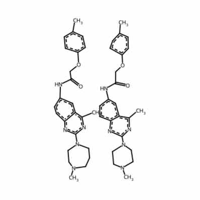 Cc1ccc(OCC(=O)Nc2ccc3nc(N4CCCN(C)CC4)nc(C)c3c2)cc1.Cc1ccc(OCC(=O)Nc2ccc3nc(N4CCN(C)CC4)nc(C)c3c2)cc1